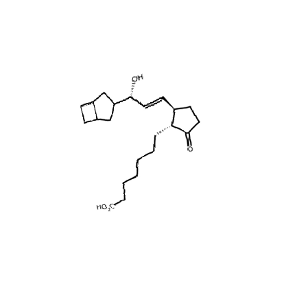 O=C(O)CCCCCC[C@H]1C(=O)CC[C@@H]1/C=C/[C@@H](O)C1CC2CCC2C1